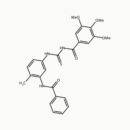 COc1cc(C(=O)NC(=S)Nc2ccc(C)c(NC(=O)c3ccccc3)c2)cc(OC)c1OC